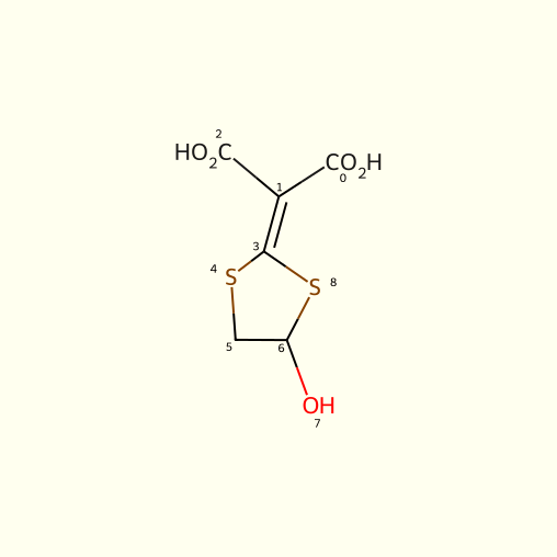 O=C(O)C(C(=O)O)=C1SCC(O)S1